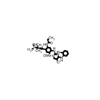 C=CC(=O)Nc1cc(Nc2ncc(Cl)c(Nc3ccccc3C(C)C)n2)c(OC)cc1C#CC(C)(C)N(C)C